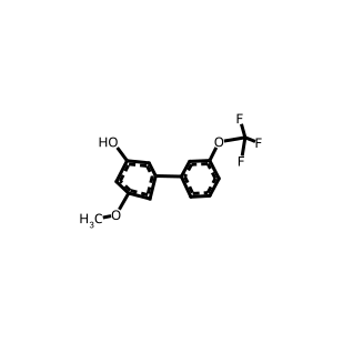 COc1cc(O)cc(-c2cccc(OC(F)(F)F)c2)c1